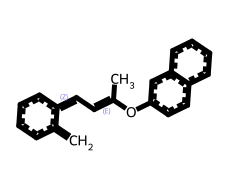 C=c1cccc/c1=C/C=C(\C)Oc1ccc2ccccc2c1